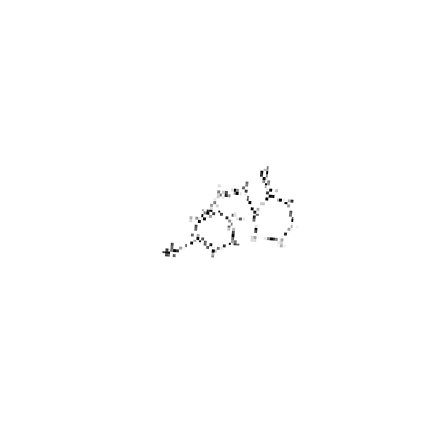 C/N=C\[C@]1(c2ccc(O)cc2)CCCCC1=O